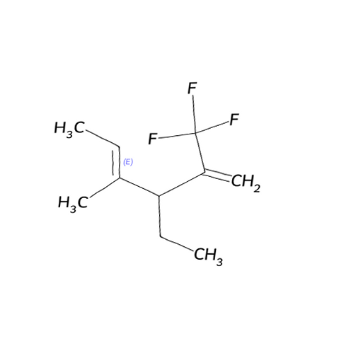 C=C(C(CC)/C(C)=C/C)C(F)(F)F